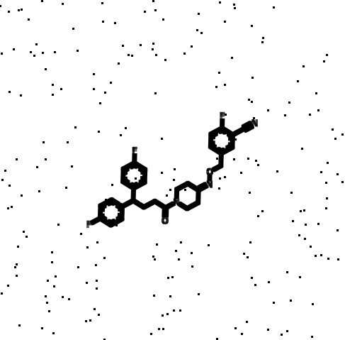 N#Cc1cc(CON=C2CCN(C(=O)CCC(c3ccc(F)cc3)c3ccc(F)cc3)CC2)ccc1F